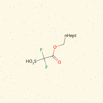 CCCCCCCCOC(=O)C(F)(F)S(=O)(=O)O